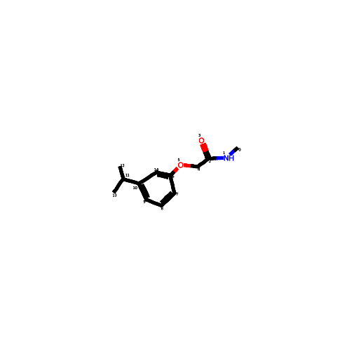 CNC(=O)COc1cccc(C(C)C)c1